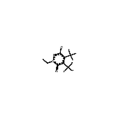 CCn1nc(Cl)c(C(C)(C)C)c(C(F)(F)F)c1=O